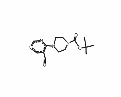 CC(C)(C)OC(=O)N1CCN(c2ncncc2C=O)CC1